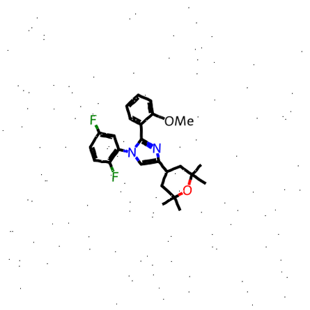 COc1ccccc1-c1nc(C2CC(C)(C)OC(C)(C)C2)cn1-c1cc(F)ccc1F